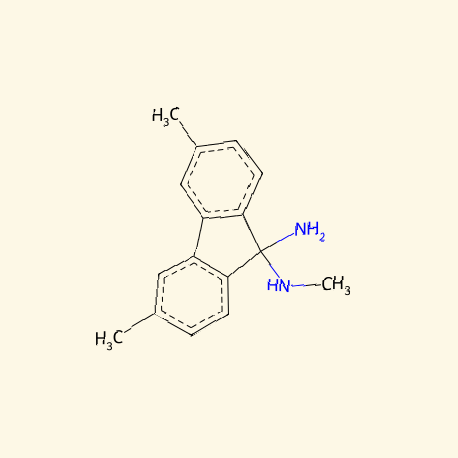 CNC1(N)c2ccc(C)cc2-c2cc(C)ccc21